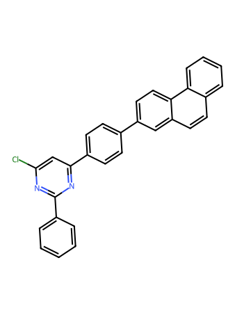 Clc1cc(-c2ccc(-c3ccc4c(ccc5ccccc54)c3)cc2)nc(-c2ccccc2)n1